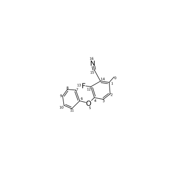 Cc1ccc(Oc2ccccc2)c(F)c1C#N